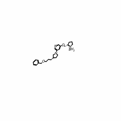 BN1CCC[C@H]1COc1cncc(N2CC[C@@H](CCCOCc3ccccc3)C2)c1